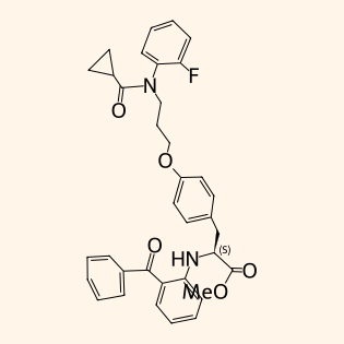 COC(=O)[C@H](Cc1ccc(OCCCN(C(=O)C2CC2)c2ccccc2F)cc1)Nc1ccccc1C(=O)c1ccccc1